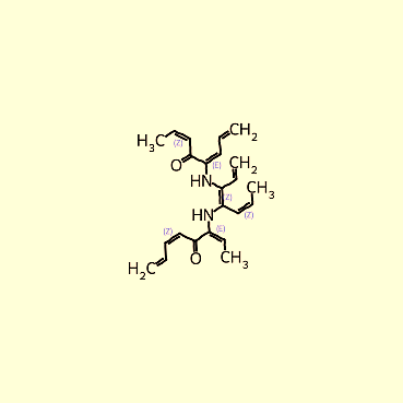 C=C/C=C\C(=O)/C(=C\C)NC(/C=C\C)=C(/C=C)N/C(=C/C=C)C(=O)/C=C\C